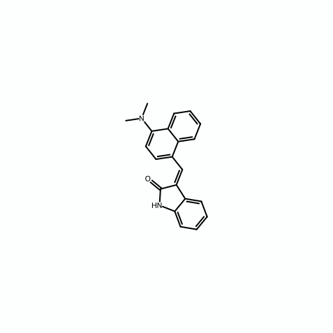 CN(C)c1ccc(/C=C2\C(=O)Nc3ccccc32)c2ccccc12